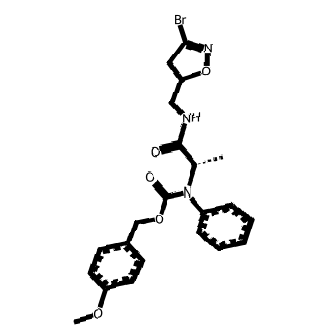 COc1ccc(COC(=O)N(c2ccccc2)[C@@H](C)C(=O)NCC2CC(Br)=NO2)cc1